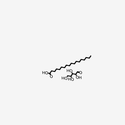 CCCCCCCCCCCCCCCCCC(=O)O.O=CC(O)C(O)C(O)CO